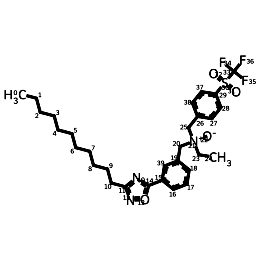 CCCCCCCCCCCc1noc(-c2cccc(C[N+]([O-])(CC)Cc3ccc(S(=O)(=O)C(F)(F)F)cc3)c2)n1